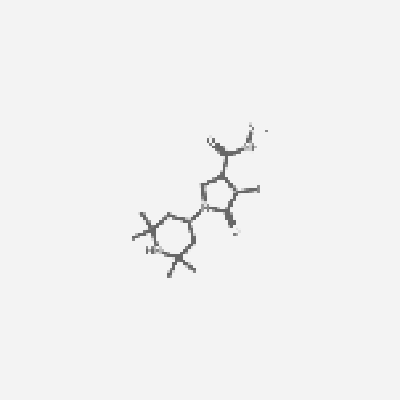 CC1(C)CC(N2CC(C(=O)NN)C(I)C2=O)CC(C)(C)N1